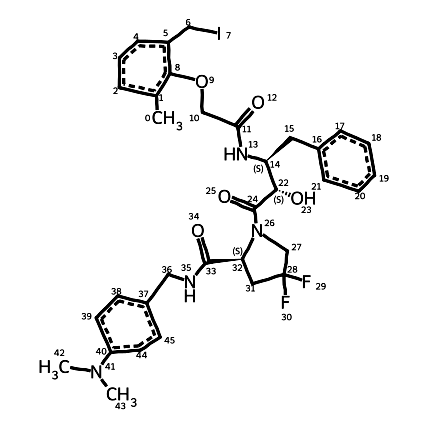 Cc1cccc(CI)c1OCC(=O)N[C@@H](Cc1ccccc1)[C@H](O)C(=O)N1CC(F)(F)C[C@H]1C(=O)NCc1ccc(N(C)C)cc1